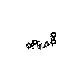 Cc1ccc2c(sc3ccccc32)c1N1C=CN(CN2C=CN(c3c(C)ccc4c3sc3cnccc34)[C@H]2C)[C@H]1C